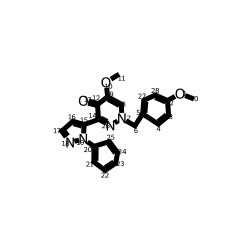 COc1ccc(Cn2cc(OC)c(=O)c(-c3ccnn3-c3ccccc3)n2)cc1